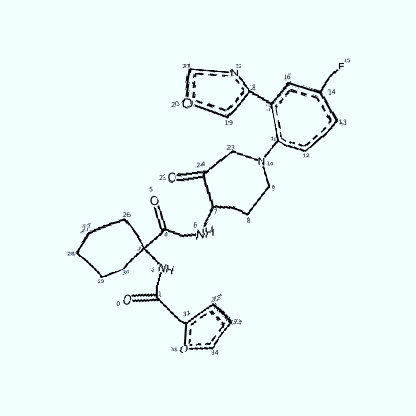 O=C(NC1(C(=O)NC2CCN(c3ccc(F)cc3-c3cocn3)CC2=O)CCCCC1)c1ccco1